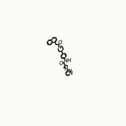 O=C(Nc1ccc(C2CCN(C(=O)Cc3cccc4ccccc34)CC2)cc1)C1CN(c2cccnn2)C1